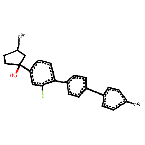 CCCc1ccc(-c2ccc(-c3ccc(C4(O)CCC(CCC)C4)cc3F)cc2)cc1